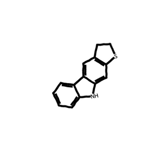 c1ccc2c(c1)[nH]c1cc3c(cc12)CCS3